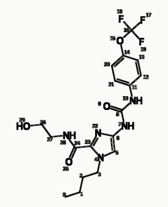 CCCCn1cc(NC(=O)Nc2ccc(OC(F)(F)F)cc2)nc1C(=O)NCCO